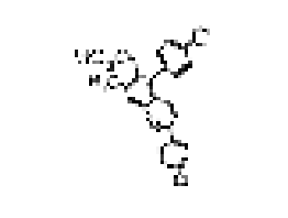 Cc1cc2nc(-c3ccc(Cl)cc3)ccc2c(-c2ccc(Cl)cc2)c1CC(=O)O